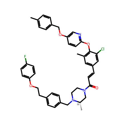 Cc1ccc(COc2ccc(Oc3c(C)cc(C=CC(=O)N4CCN(Cc5ccc(CCOc6ccc(F)cc6)cc5)[C@@H](C)C4)cc3Cl)nc2)cc1